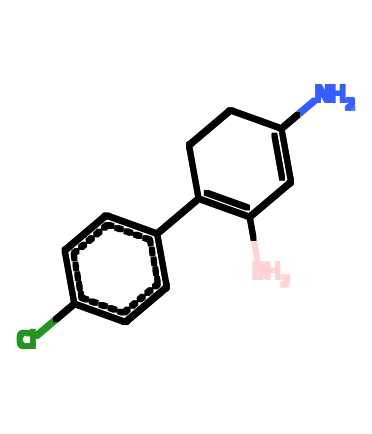 BC1=C(c2ccc(Cl)cc2)CCC(N)=C1